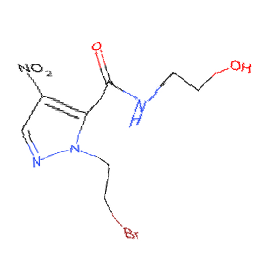 O=C(NCCO)c1c([N+](=O)[O-])cnn1CCBr